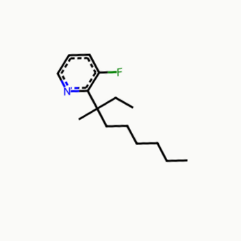 CCCCCCC(C)(CC)c1ncccc1F